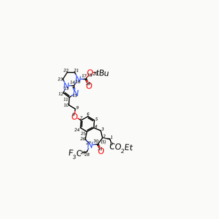 CCOC(=O)C[C@@H]1Cc2ccc(OCCc3cn4c(n3)N(C(=O)OC(C)(C)C)CCC4)cc2CN(CC(F)(F)F)C1=O